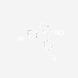 CCOC(=O)c1c[nH]c(-c2ccc(C(F)(F)F)cc2)c1-c1ccc(N)cc1